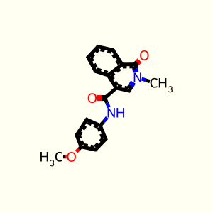 COc1ccc(NC(=O)c2cn(C)c(=O)c3ccccc23)cc1